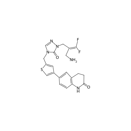 NCC(Cn1ncn(Cc2cc(-c3ccc4c(c3)CCC(=O)N4)cs2)c1=O)=C(F)F